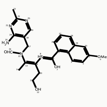 COc1ccc2c(/C(O)=[SH]/C(CCO)=C(/C)N(C=O)Cc3cnc(C)nc3N)cccc2c1